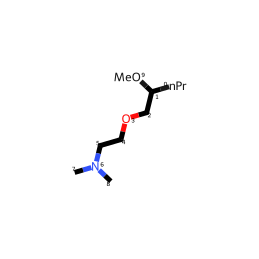 CCCC(COCCN(C)C)OC